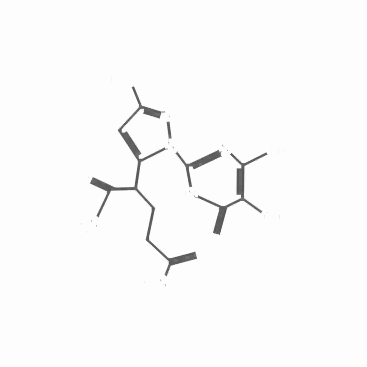 Cc1cc(C(CCC(N)=O)C(N)=O)n(-c2nc(C)c(C)c(=O)[nH]2)n1